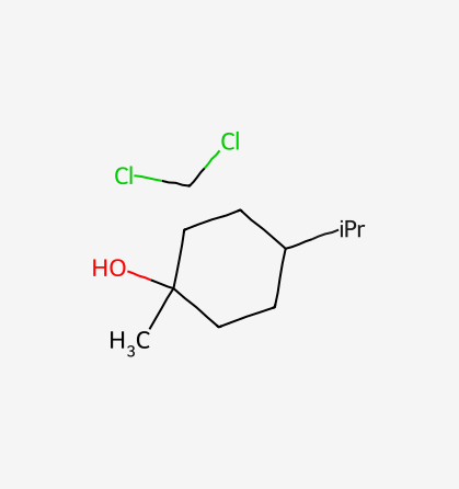 CC(C)C1CCC(C)(O)CC1.ClCCl